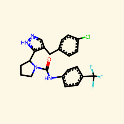 O=C(Nc1ccc(C(F)(F)F)cc1)N1CCCC1c1[nH]ncc1Cc1ccc(Cl)cc1